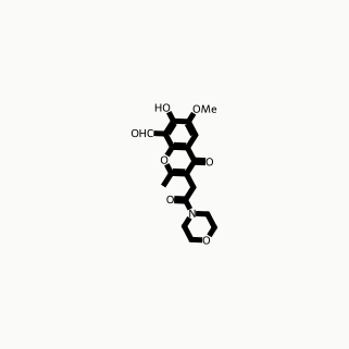 COc1cc2c(=O)c(CC(=O)N3CCOCC3)c(C)oc2c(C=O)c1O